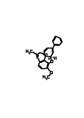 COc1ccc2c3c1O[C@@H]1C=C(c4ccccc4)C=C[C@@]31CCN(C)C2